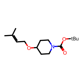 CC(C)=CCOC1CCN(C(=O)OC(C)(C)C)CC1